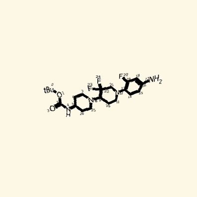 CC(C)(C)OC(=O)NC1CCN(C2CCN(c3ccc(N)cc3F)CC2(F)F)CC1